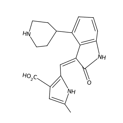 Cc1cc(C(=O)O)c(C=C2C(=O)Nc3cccc(C4CCNCC4)c32)[nH]1